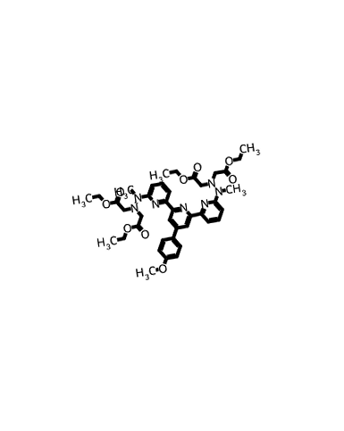 CCOC(=O)CN(CC(=O)OCC)N(C)c1cccc(-c2cc(-c3ccc(OC)cc3)cc(-c3cccc(N(C)N(CC(=O)OCC)CC(=O)OCC)n3)n2)n1